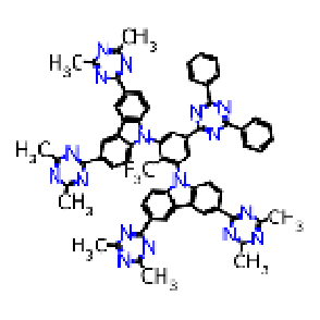 Cc1nc(C)nc(-c2ccc3c(c2)c2cc(-c4nc(C)nc(C)n4)ccc2n3-c2cc(-c3nc(-c4ccccc4)nc(-c4ccccc4)n3)cc(-n3c4ccc(-c5nc(C)nc(C)n5)cc4c4cc(-c5nc(C)nc(C)n5)ccc43)c2C(F)(F)F)n1